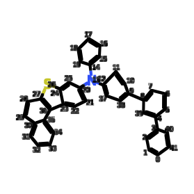 c1ccc(-c2cccc(-c3ccc(N(c4ccccc4)c4ccc5c(c4)sc4ccc6ccccc6c45)cc3)c2)cc1